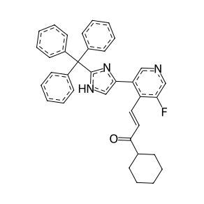 O=C(C=Cc1c(F)cncc1-c1c[nH]c(C(c2ccccc2)(c2ccccc2)c2ccccc2)n1)C1CCCCC1